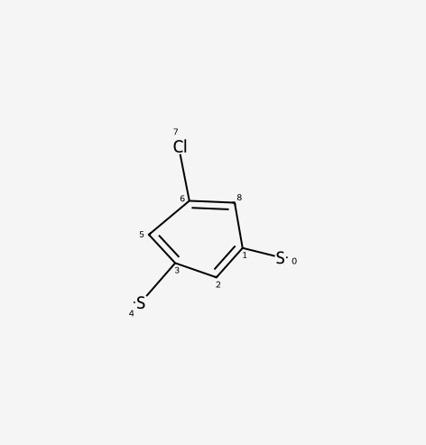 [S]c1cc([S])cc(Cl)c1